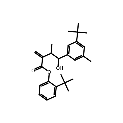 C=C(C(=O)Oc1ccccc1C(C)(C)C)C(C)C(O)c1cc(C)cc(C(C)(C)C)c1